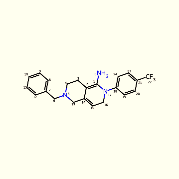 NC1=C2CCN(Cc3ccccc3)CC2=CCN1c1ccc(C(F)(F)F)cc1